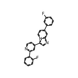 Fc1cccc(-c2ccn3c(-c4ccnc(-c5ccccc5F)c4)cnc3c2)c1